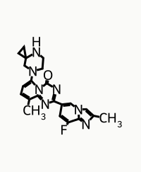 Cc1cn2cc(-c3nc(=O)n4c(N5CCNC6(CC6)C5)ccc(C)c4n3)cc(F)c2n1